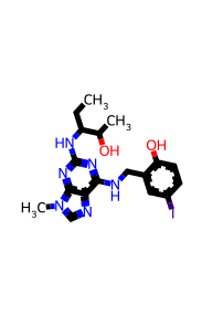 CCC(Nc1nc(NCc2cc(I)ccc2O)c2ncn(C)c2n1)C(C)O